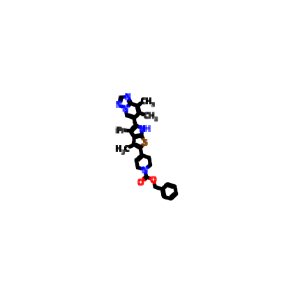 Cc1c(-c2[nH]c3sc(C4=CCN(C(=O)OCc5ccccc5)CC4)c(C)c3c2C(C)C)cn2ncnc2c1C